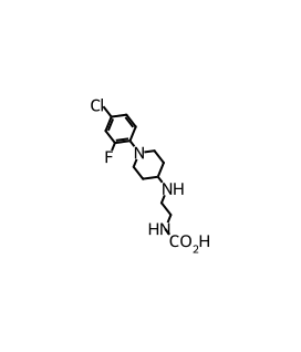 O=C(O)NCCNC1CCN(c2ccc(Cl)cc2F)CC1